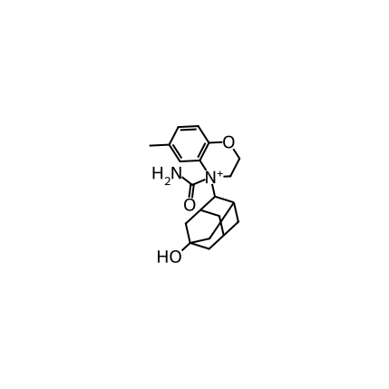 Cc1ccc2c(c1)[N+](C(N)=O)(C1C3CC4CC1CC(O)(C4)C3)CCO2